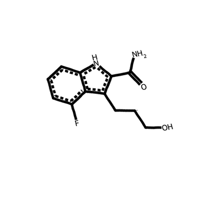 NC(=O)c1[nH]c2cccc(F)c2c1C[CH]CO